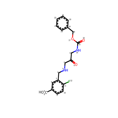 O=C(CNCc1cc(C(=O)O)ccc1F)CNC(=O)OCc1ccccc1